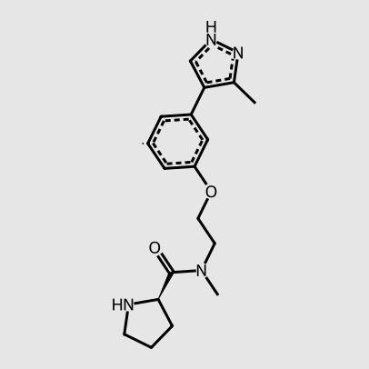 Cc1n[nH]cc1-c1c[c]cc(OCCN(C)C(=O)[C@H]2CCCN2)c1